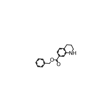 O=C(OCc1ccccc1)c1ccc2c(c1)NCCC2